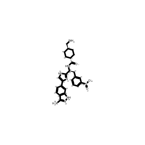 NC[C@H]1CC[C@H](C(=O)N[C@@H](Cc2cccc([N+](=O)[O-])c2)c2nc(-c3ccc4c(N)n[nH]c4c3)c[nH]2)CC1